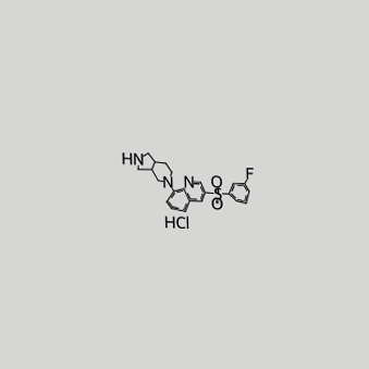 Cl.O=S(=O)(c1cccc(F)c1)c1cnc2c(N3CCC4CNCC4C3)cccc2c1